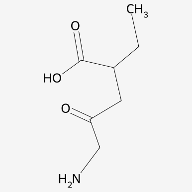 CCC(CC(=O)CN)C(=O)O